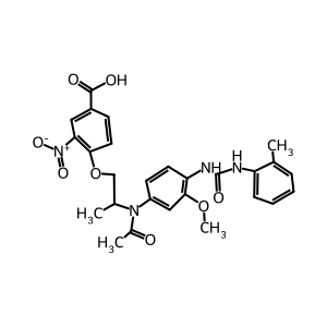 COc1cc(N(C(C)=O)C(C)COc2ccc(C(=O)O)cc2[N+](=O)[O-])ccc1NC(=O)Nc1ccccc1C